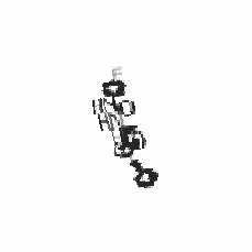 O=C(Nc1ccc(F)cc1)N[C@H]1COC2[C@H](C#Cc3ccccc3)CO[C@@H]21